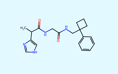 CC(C(=O)NCC(=O)NCC1(c2ccccc2)CCC1)c1c[nH]cn1